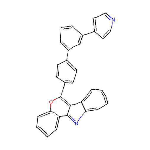 c1cc(-c2ccncc2)cc(-c2ccc(-c3oc4ccccc4c4nc5ccccc5c3-4)cc2)c1